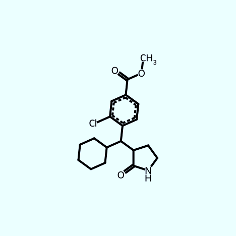 COC(=O)c1ccc(C(C2CCCCC2)C2CCNC2=O)c(Cl)c1